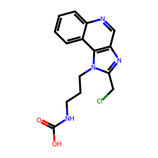 O=C(O)NCCCn1c(CCl)nc2cnc3ccccc3c21